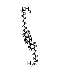 CCCCCCCCCCC(=O)Oc1cnc(-c2ccc(CCCCCC)cc2)nc1